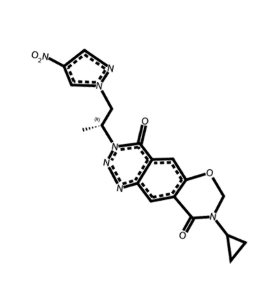 C[C@H](Cn1cc([N+](=O)[O-])cn1)n1nnc2cc3c(cc2c1=O)OCN(C1CC1)C3=O